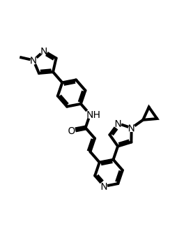 Cn1cc(-c2ccc(NC(=O)C=Cc3cnccc3-c3cnn(C4CC4)c3)cc2)cn1